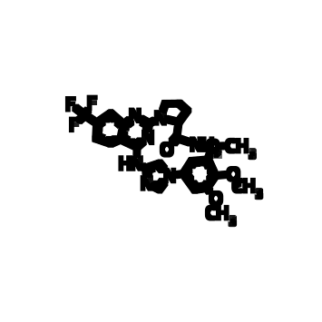 COc1cc(-n2cnc(Nc3nc(N4CCCC4C(N)=O)nc4cc(C(F)(F)F)ccc34)c2)cc(OC)c1OC